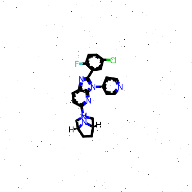 Fc1ccc(Cl)cc1-c1nc2ccc(N3C[C@H]4CC[C@@H](C3)N4)nc2n1-c1ccncc1